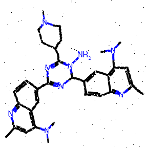 Cc1cc(N(C)C)c2cc(C3=NC(c4ccc5nc(C)cc(N(C)C)c5c4)N(N)C(C4CCN(C)CC4)=N3)ccc2n1